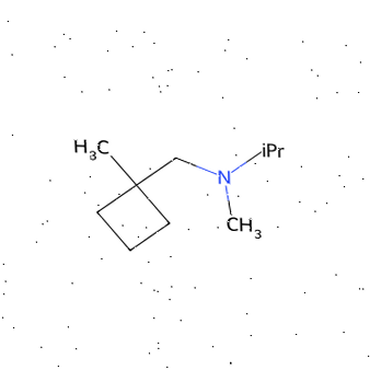 CC(C)N(C)CC1(C)CCC1